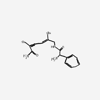 CCCCC(=CC=C(CCCC)C(N)=O)CNC(=O)C(N)c1ccccc1